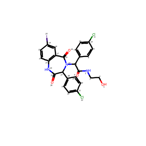 O=C(NCCO)C(c1ccc(Cl)cc1)N1C(=O)c2cc(I)ccc2NC(=O)C1c1ccc(Cl)cc1